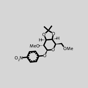 COC[C@H]1O[C@@H](Oc2ccc([N+](=O)[O-])cc2)[C@H](OC)[C@H]2OC(C)(C)O[C@H]21